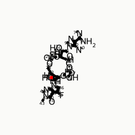 C=Nc1c(/C(N)=N\C)ncn1[C@@H]1O[C@@H]2COP(=O)(O)O[C@@H]3[C@H](O)[C@@H](COP(=O)(S)O[C@H]2[C@H]1O)O[C@H]3n1cc(F)c2c(=O)n(C)cnc21